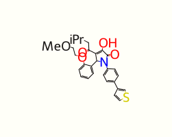 COCCOc1ccccc1C1C(C(=O)CC(C)C)=C(O)C(=O)N1c1ccc(-c2ccsc2)cc1